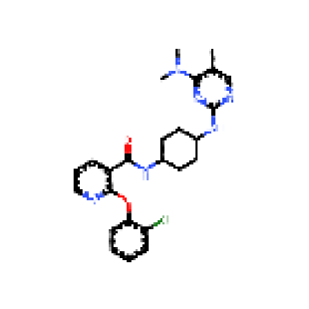 Cc1cnc(NC2CCC(NC(=O)c3cccnc3Oc3ccccc3Cl)CC2)nc1N(C)C